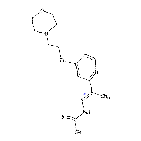 C/C(=N\NC(=S)S)c1cc(OCCN2CCOCC2)ccn1